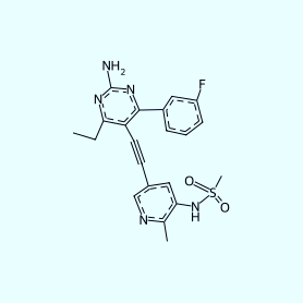 CCc1nc(N)nc(-c2cccc(F)c2)c1C#Cc1cnc(C)c(NS(C)(=O)=O)c1